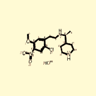 COc1cc(CCN[C@@H](C)C2CCNCC2)c(Cl)cc1[N+](=O)[O-].Cl